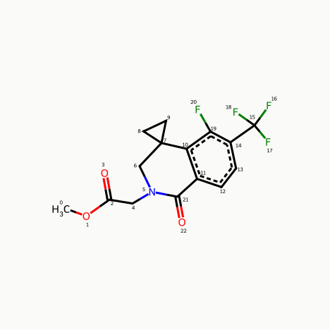 COC(=O)CN1CC2(CC2)c2c(ccc(C(F)(F)F)c2F)C1=O